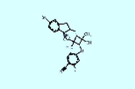 CC1(C)[C@H](CC2Cc3cc(Br)ccc3C2=O)C(C)(C)[C@H]1Oc1ccc(C#N)c(Cl)c1